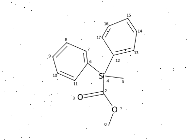 COC(=O)[Si](C)(c1ccccc1)c1ccccc1